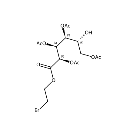 CC(=O)OC[C@@H](O)[C@H](OC(C)=O)[C@H](OC(C)=O)[C@@H](OC(C)=O)C(=O)OCCBr